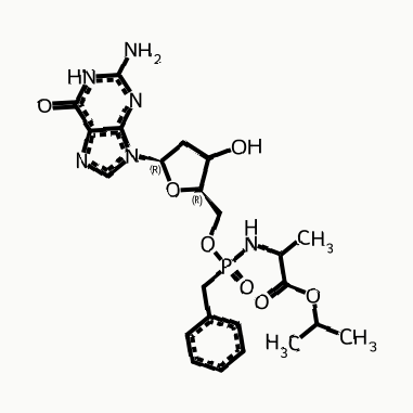 CC(C)OC(=O)C(C)NP(=O)(Cc1ccccc1)OC[C@H]1O[C@@H](n2cnc3c(=O)[nH]c(N)nc32)CC1O